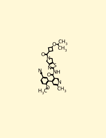 COc1ccc(C#N)cc1-c1cc(C)ncc1C(=O)Nc1nc2c(s1)CN(C(=O)C1CC(OC(C)C)C1)C2